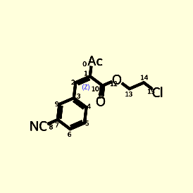 CC(=O)/C(=C/c1cccc(C#N)c1)C(=O)OCCCl